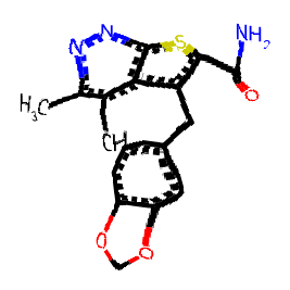 Cc1nnc2sc(C(N)=O)c(Cc3ccc4c(c3)OCO4)c2c1C